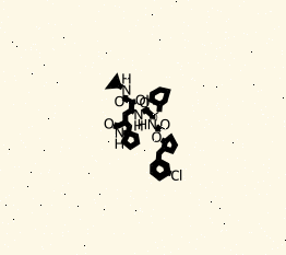 O=C(N[C@@H](CC1CCCCC1)C(=O)NC(CC1CC2(CCCC2)NC1=O)C(O)C(=O)NC1CC1)OC1CCCC1Cc1cccc(Cl)c1